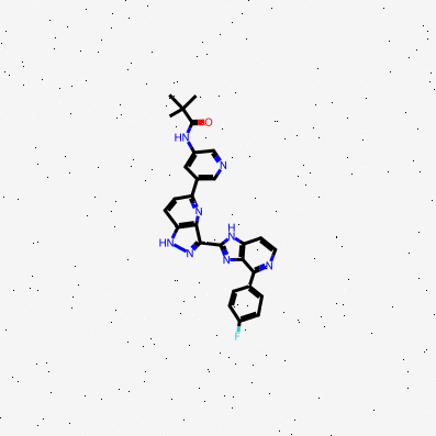 CC(C)(C)C(=O)Nc1cncc(-c2ccc3[nH]nc(-c4nc5c(-c6ccc(F)cc6)nccc5[nH]4)c3n2)c1